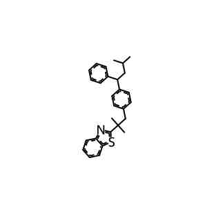 CC(C)CC(c1ccccc1)c1ccc(CC(C)(C)c2nc3ccccc3s2)cc1